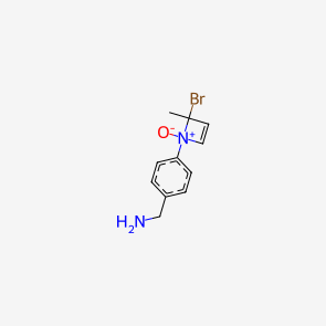 CC1(Br)C=C[N+]1([O-])c1ccc(CN)cc1